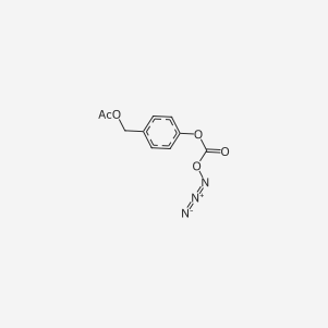 CC(=O)OCc1ccc(OC(=O)ON=[N+]=[N-])cc1